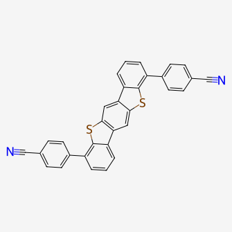 N#Cc1ccc(-c2cccc3c2sc2cc4c(cc23)sc2c(-c3ccc(C#N)cc3)cccc24)cc1